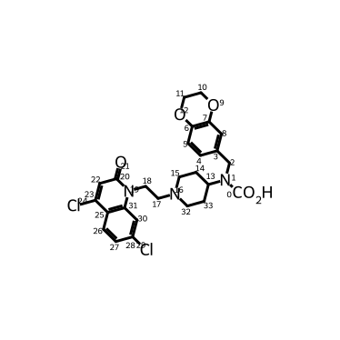 O=C(O)N(Cc1ccc2c(c1)OCCO2)C1CCN(CCn2c(=O)cc(Cl)c3ccc(Cl)cc32)CC1